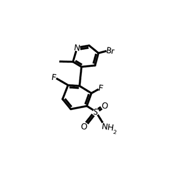 Cc1ncc(Br)cc1-c1c(F)ccc(S(N)(=O)=O)c1F